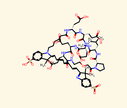 CNC(=O)[C@H](CC(C)C)NC(=O)[C@@H]1CCCN1C(=O)COCCNC(=O)[C@@H](CCC(=O)O)NC(=O)[C@@H](CCC(=O)O)NC(=O)[C@@H](CCC(=O)O)NC(=O)[C@@H](CCC(=O)O)NC(=O)[C@@H](CCC(=O)O)NC(=O)CCCCCN1/C(=C/C=C/C=C/C=C/C2=Nc3ccc([SH](=O)=O)cc3C2(C)C)C(C)(C)c2cc(S(=O)(=O)O)ccc21